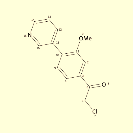 COc1cc(C(=O)CCl)ccc1-c1cccnc1